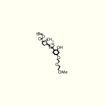 COCCOCCOc1ccc(C2=N[C@H]([C@H]3CC[C@H](C(=O)OC(C)(C)C)N3C)CS2)c(O)c1